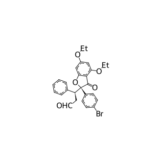 CCOc1cc(OCC)c2c(c1)O[C@@](c1ccc(Br)cc1)([C@@H](CC=O)c1ccccc1)C2=O